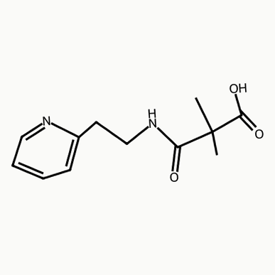 CC(C)(C(=O)O)C(=O)NCCc1ccccn1